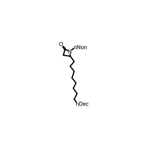 CCCCCCCCCCCCCCCCCCC1CC(=O)N1CCCCCCCCC